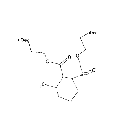 CCCCCCCCCCCCOC(=O)C1CCCC(C)C1C(=O)OCCCCCCCCCCCC